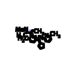 C=C(NC)/C(=C/C)N1C=C(C(Nc2cccc(C)n2)=C2CCCC2)C=CC1=C